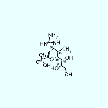 C[C@H]1[C@H]([C@H](O)[C@H](O)CO)OC(P(=O)(O)O)=C[C@@H]1NC(=N)N